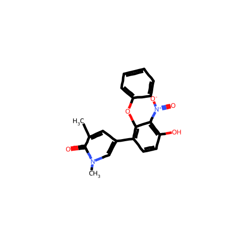 Cc1cc(-c2ccc(O)c([N+](=O)[O-])c2Oc2ccccc2)cn(C)c1=O